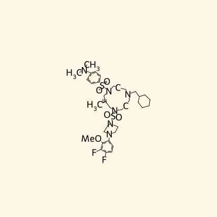 COc1c(N2CCN(S(=O)(=O)N3CCCN(CC4CCCCC4)CCCN(S(=O)(=O)c4ccc(N(C)C)cc4)C[C@H](C)C3)CC2)ccc(F)c1F